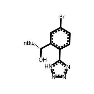 CCCC[C@@H](O)c1cc(Br)ccc1-c1nnn[nH]1